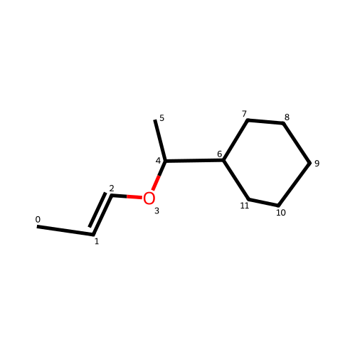 CC=COC(C)C1CCCCC1